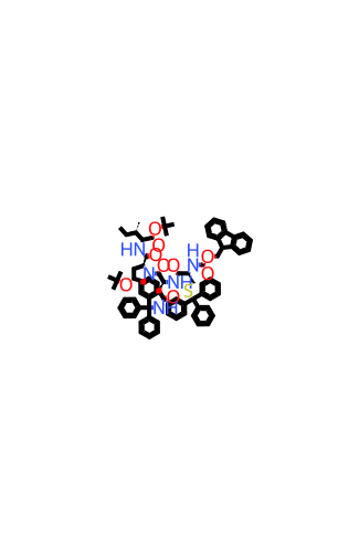 CC[C@H](C)[C@H](NC(=O)[C@@H]1C[C@@H](OC(C)(C)C)CN1C(=O)[C@H](CC(=O)NC(c1ccccc1)(c1ccccc1)c1ccccc1)NC(=O)[C@H](CSC(c1ccccc1)(c1ccccc1)c1ccccc1)NC(=O)OCC1c2ccccc2-c2ccccc21)C(=O)OC(C)(C)C